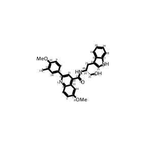 COc1ccc2nc(-c3ccc(OC)c(I)c3)cc(C(=O)N[C@@H](CO)Cc3c[nH]c4ccccc34)c2c1